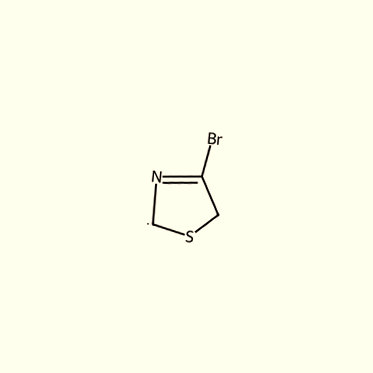 BrC1=N[CH]SC1